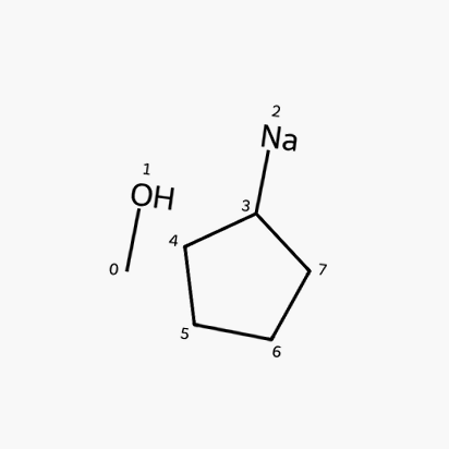 CO.[Na][CH]1CCCC1